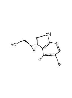 OC[C@@H]1C[C@@]12CNc1ncc(Br)c(Cl)c12